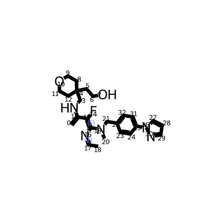 C=C(NCC1(CCO)CCOCC1)/C(F)=C(\N=C/C)N(C)Cc1ccc(-n2cccn2)cc1